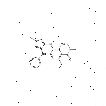 CCc1ccc(Nc2n[s+]([O-])nc2Nc2ccccc2)c(O)c1C(=O)N(C)C